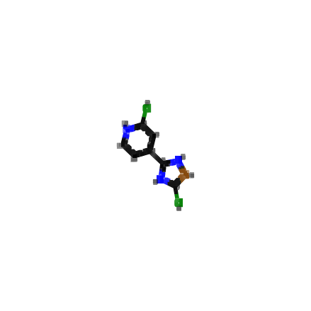 Clc1cc(-c2nsc(Cl)n2)ccn1